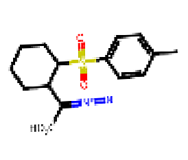 Cc1ccc(S(=O)(=O)C2CCCCC2C(=[N+]=[N-])C(=O)O)cc1